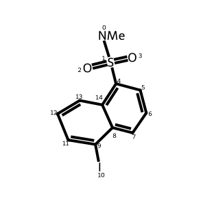 [CH2]NS(=O)(=O)c1cccc2c(I)cccc12